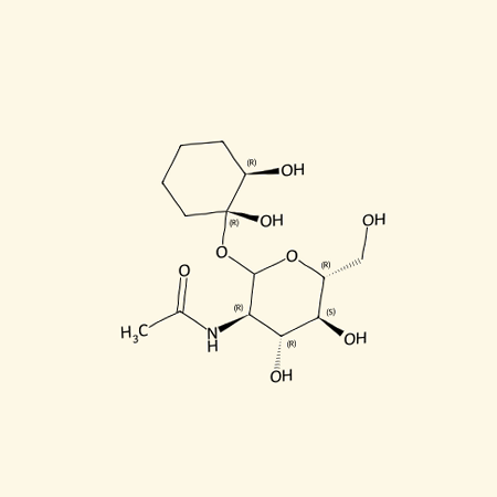 CC(=O)N[C@H]1C(O[C@]2(O)CCCC[C@H]2O)O[C@H](CO)[C@@H](O)[C@@H]1O